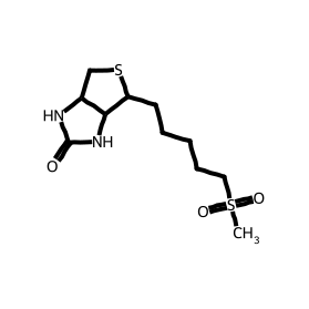 CS(=O)(=O)CCCCCC1SCC2NC(=O)NC21